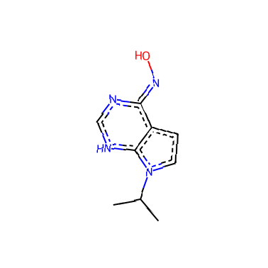 CC(C)n1ccc2/c(=N/O)nc[nH]c21